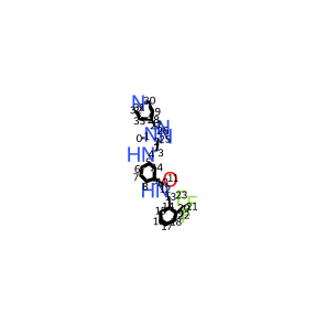 Cn1c(CNc2cccc(C(=O)NCc3cc#ccc3C(F)(F)F)c2)nnc1-c1ccncc1